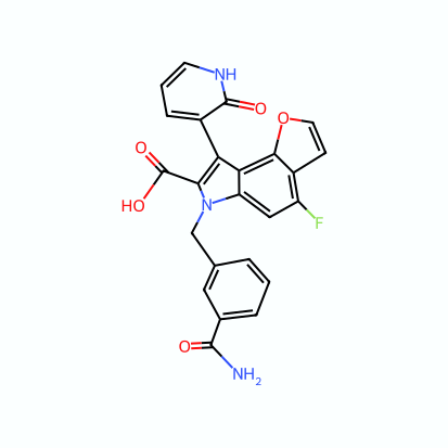 NC(=O)c1cccc(Cn2c(C(=O)O)c(-c3ccc[nH]c3=O)c3c4occc4c(F)cc32)c1